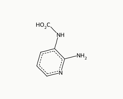 Nc1ncccc1NC(=O)O